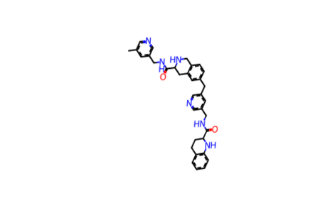 Cc1cncc(CNC(=O)C2Cc3cc(Cc4cncc(CNC(=O)C5CCc6ccccc6N5)c4)ccc3CN2)c1